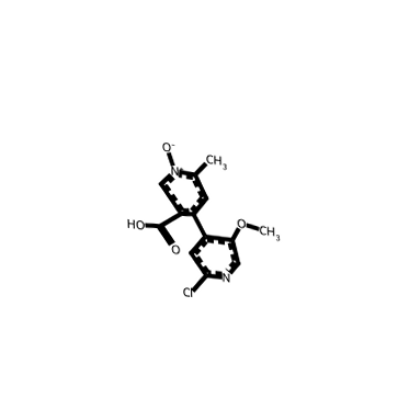 COc1cnc(Cl)cc1-c1cc(C)[n+]([O-])cc1C(=O)O